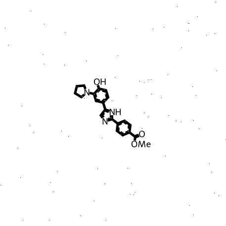 COC(=O)c1ccc(-c2ncc(-c3ccc(O)c(N4CCCC4)c3)[nH]2)cc1